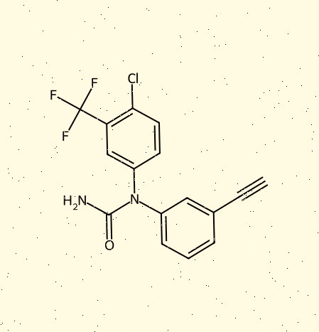 C#Cc1cccc(N(C(N)=O)c2ccc(Cl)c(C(F)(F)F)c2)c1